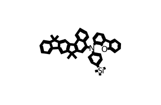 CC1(C)c2ccccc2-c2cc3c(cc21)-c1c(cc(N(c2ccc([Si](C)(C)C)cc2)c2cccc4c2oc2ccccc24)c2ccccc12)C3(C)C